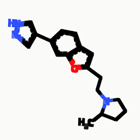 CC1CCCN1CCc1cc2ccc(-c3cn[nH]c3)cc2o1